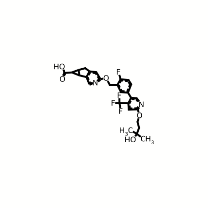 CC(C)(O)CCOc1cc(C(F)(F)F)c(-c2ccc(F)c(COc3cc4c(cn3)C3C(C4)C3C(=O)O)c2)cn1